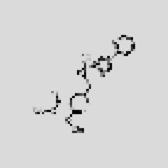 C[C@H](C[C@H]1C[C@]1(C(=O)O)c1cn(-c2ccccn2)cn1)CN(C(=O)OC(C)(C)C)C(=O)OC(C)(C)C